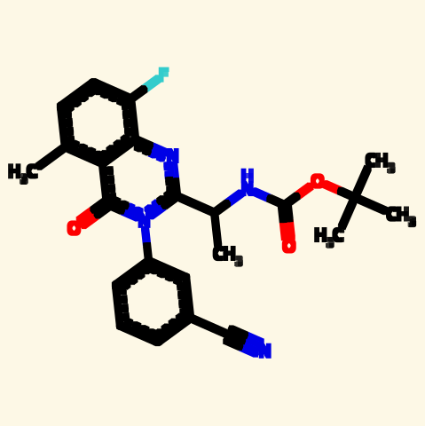 Cc1ccc(F)c2nc(C(C)NC(=O)OC(C)(C)C)n(-c3cccc(C#N)c3)c(=O)c12